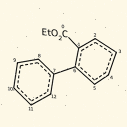 CCOC(=O)c1ccccc1-c1cc[c]cc1